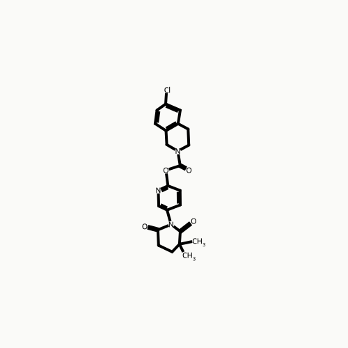 CC1(C)CCC(=O)N(c2ccc(OC(=O)N3CCc4cc(Cl)ccc4C3)nc2)C1=O